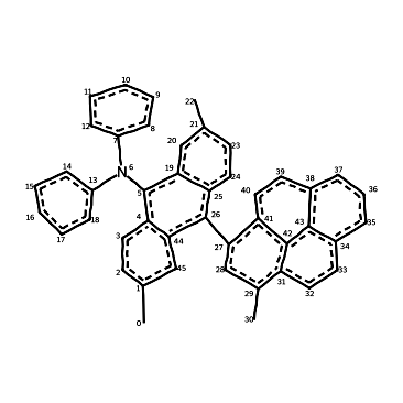 Cc1ccc2c(N(c3ccccc3)c3ccccc3)c3cc(C)ccc3c(-c3cc(C)c4ccc5cccc6ccc3c4c56)c2c1